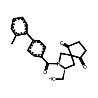 Cc1ccccc1-c1ccc(C(=O)N2CC3(C[C@H]2CO)C(=O)CCC3=O)cc1